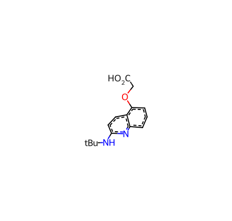 CC(C)(C)Nc1ccc2c(OCC(=O)O)cccc2n1